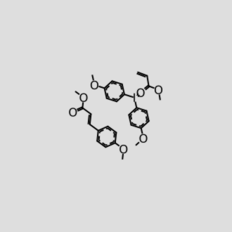 C=CC(=O)OC.COC(=O)C=Cc1ccc(OC)cc1.COc1ccc([I+]c2ccc(OC)cc2)cc1